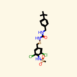 CC(C)(C)c1ccc(CNC(=O)NSCc2cc(Cl)c(NS(C)(=O)=O)c(Cl)c2)cc1